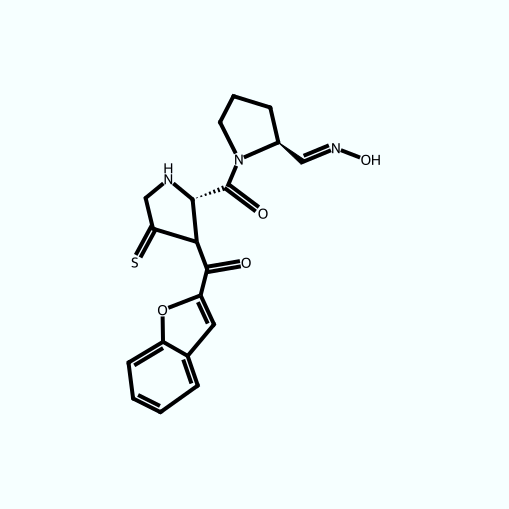 O=C(c1cc2ccccc2o1)C1C(=S)CN[C@@H]1C(=O)N1CCC[C@H]1C=NO